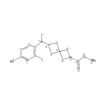 Cc1nc(C#N)ccc1N(C)C1CC2(C1)CN(C(=O)OC(C)(C)C)C2